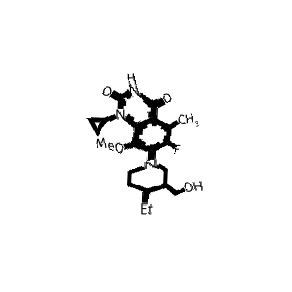 CCC1CCN(c2c(F)c(C)c3c(=O)[nH]c(=O)n(C4CC4)c3c2OC)CC1CO